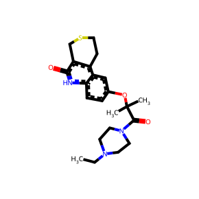 CCN1CCN(C(=O)C(C)(C)Oc2ccc3[nH]c(=O)c4c(c3c2)CCSC4)CC1